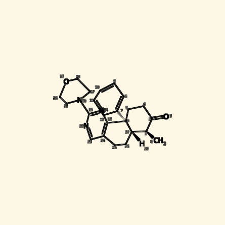 C[C@@H]1C(=O)CC[C@]2(c3ccccc3)c3nc(N4CCOCC4)ncc3CC[C@@H]12